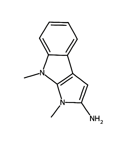 Cn1c(N)cc2c3ccccc3n(C)c21